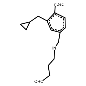 CCCCCCCCCCc1ccc(CNCCCC=O)cc1CC1CC1